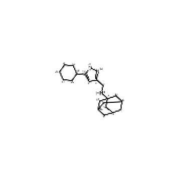 c1c(CNC23CC4CC(CC(C4)C2)C3)noc1C1CCCCC1